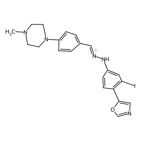 CN1CCN(c2ccc(/C=N/Nc3ccc(-c4cnco4)c(I)c3)cc2)CC1